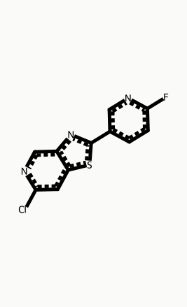 Fc1ccc(-c2nc3cnc(Cl)cc3s2)cn1